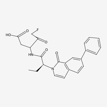 CC[C@@H](C(=O)NC(CC(=O)O)C(=O)CF)n1ccc2ccc(-c3ccccc3)cc2c1=O